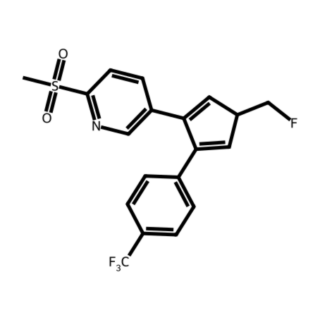 CS(=O)(=O)c1ccc(C2=CC(CF)C=C2c2ccc(C(F)(F)F)cc2)cn1